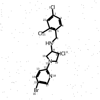 Cl.Clc1ccc(CNC2CCN(c3ccc(Br)cn3)C2)c(Cl)c1